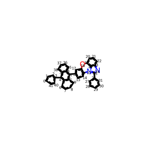 c1ccc(-c2c3ccccc3c(-c3ccc4c(c3)Oc3cccc5nc(-c6ccccc6)n-4c35)c3ccccc23)cc1